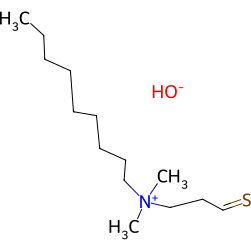 CCCCCCCCC[N+](C)(C)CCC=S.[OH-]